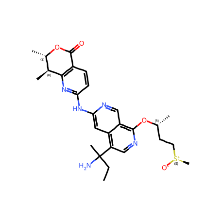 CCC(C)(N)c1cnc(O[C@H](C)CC[S@@+](C)[O-])c2cnc(Nc3ccc4c(n3)[C@@H](C)[C@H](C)OC4=O)cc12